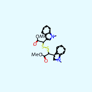 COC(=O)C(SSC(C(=O)OC)c1cn(C)c2ccccc12)c1cn(C)c2ccccc12